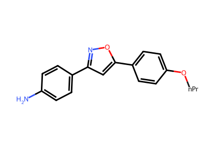 CCCOc1ccc(-c2cc(-c3ccc(N)cc3)no2)cc1